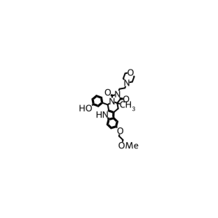 COCCOc1ccc2[nH]c3c(c2c1)CC1(C)C(=O)N(CCN2CCOCC2)C(=O)N1C3c1cccc(O)c1